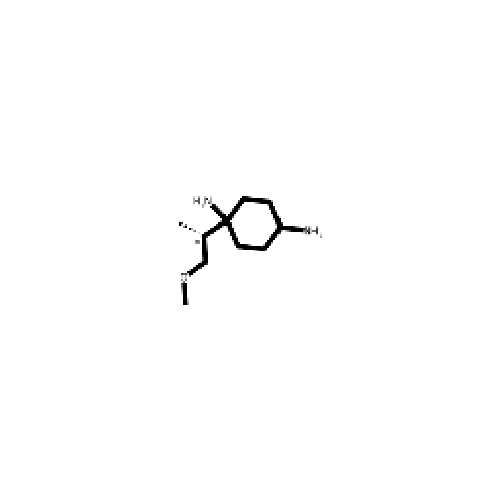 COC[C@H](C)C1(N)CCC(N)CC1